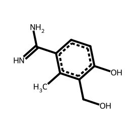 Cc1c(C(=N)N)ccc(O)c1CO